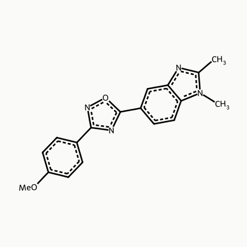 COc1ccc(-c2noc(-c3ccc4c(c3)nc(C)n4C)n2)cc1